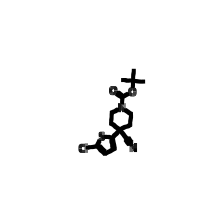 CC(C)(C)OC(=O)N1CCC(C#N)(c2ccc(Cl)s2)CC1